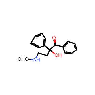 O=CNCCC(O)(C(=O)c1ccccc1)c1ccccc1